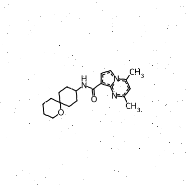 Cc1cc(C)n2ccc(C(=O)NC3CCC4(CCCCO4)CC3)c2n1